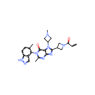 C=CC(=O)N1CC(c2nc3nc(C)n(-c4c(C)ccc5[nH]ncc45)c(=O)c3n2C2CN(C)C2)C1